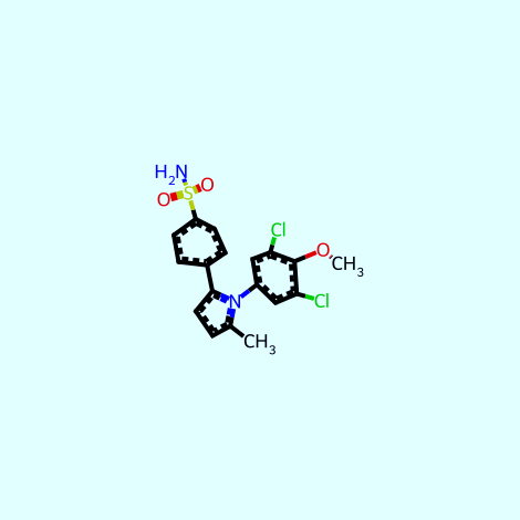 COc1c(Cl)cc(-n2c(C)ccc2-c2ccc(S(N)(=O)=O)cc2)cc1Cl